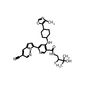 Cc1ncoc1C1CCC(Nc2cc(-c3ccc4cc(C#N)cnn34)ncc2C(=O)NCC(F)C(C)(C)O)CC1